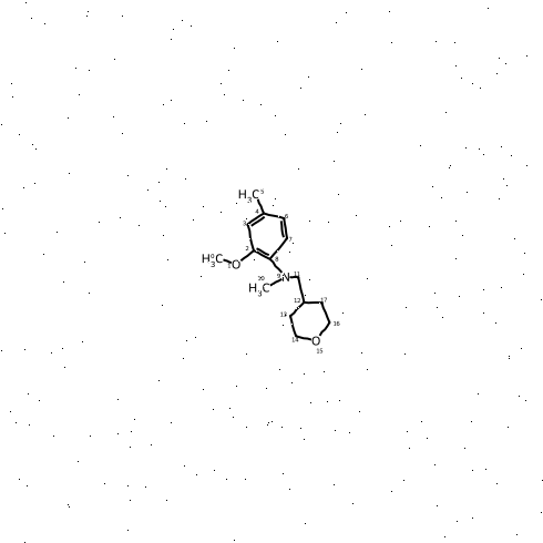 COc1cc(C)ccc1N(C)CC1CCOCC1